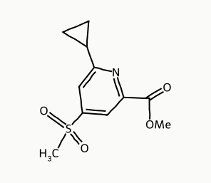 COC(=O)c1cc(S(C)(=O)=O)cc(C2CC2)n1